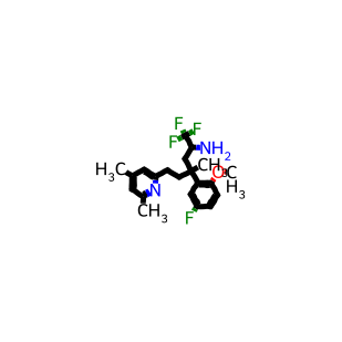 COc1ccc(F)cc1C(C)(CCc1cc(C)cc(C)n1)CC(N)C(F)(F)F